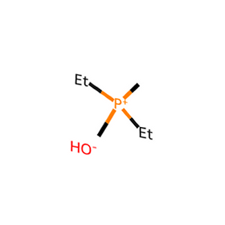 CC[P+](C)(C)CC.[OH-]